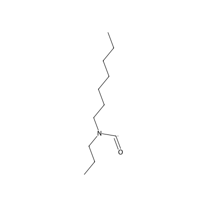 CCCCCCCN([C]=O)CCC